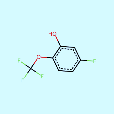 Oc1cc(F)ccc1OC(F)(F)F